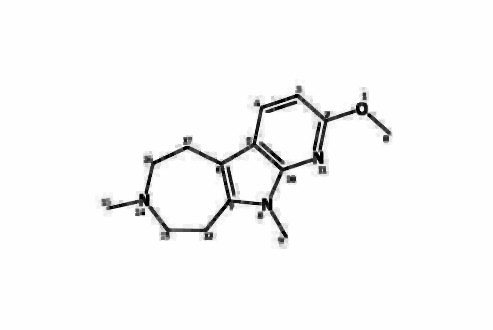 COc1ccc2c3c(n(C)c2n1)CCN(C)CC3